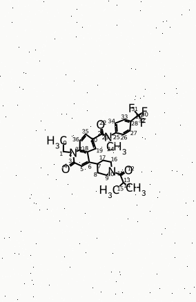 CCn1c(=O)cc(C2CCN(C(=O)C(C)C)CC2)c2cc(C(=O)N(C)c3ccc(C(F)(F)F)cc3)ccc21